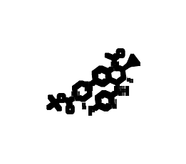 CC(=O)N1c2ccc(N3CCN(C(=O)OC(C)(C)C)[C@@H](C)C3)cc2[C@H](Nc2ccc(F)cn2)[C@@H](C)[C@@H]1C1CC1